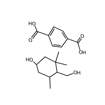 CC1CC(O)CC(C)(C)C1CO.O=C(O)c1ccc(C(=O)O)cc1